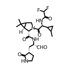 CC1CC1[C@H](NC(=O)C(F)F)C(=O)N1CC2[C@@H]([C@H]1C(=O)N[C@H](C=O)C[C@@H]1CCNC1=O)C2(C)C